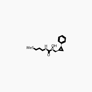 CSCCCNC(=O)N(O)C[C@@H]1C[C@H]1c1ccccc1